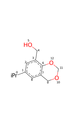 CC(C)c1cc(CO)c2c(c1)COCO2